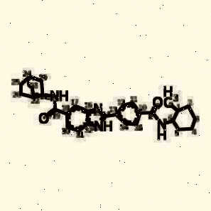 CC1CCCCC1NC(=O)c1ccc(-c2nc3cc(C(=O)NC4CC5CCC4CC5)ccc3[nH]2)cc1